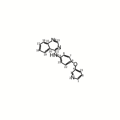 c1cncc(Oc2ccc(Nc3ncnc4ccccc34)cc2)c1